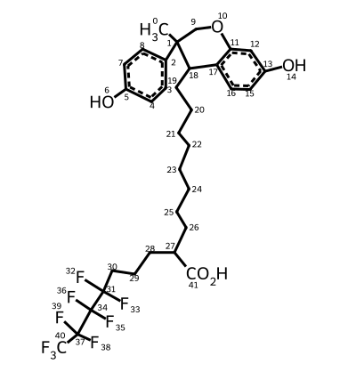 CC1(c2ccc(O)cc2)COc2cc(O)ccc2C1CCCCCCCCC(CCCC(F)(F)C(F)(F)C(F)(F)C(F)(F)F)C(=O)O